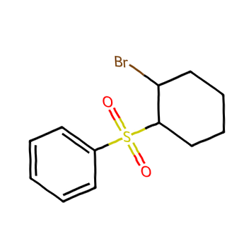 O=S(=O)(c1ccccc1)C1CCCCC1Br